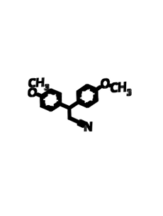 COc1ccc(C(CC#N)c2ccc(OC)cc2)cc1